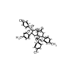 Cc1ccc(C2C[C@@H]3C(S(=O)(=O)c4ccc(Cl)cc4)C(c4ccc(C)cc4)CC(=O)[C@@H]3CC2S(=O)(=O)c2ccc(Cl)cc2)cc1